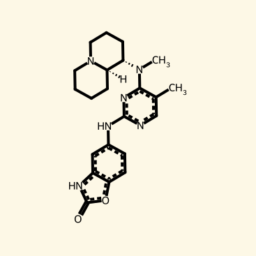 Cc1cnc(Nc2ccc3oc(=O)[nH]c3c2)nc1N(C)[C@H]1CCCN2CCCC[C@H]12